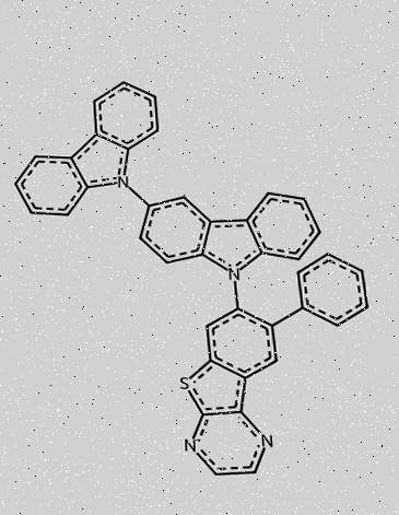 c1ccc(-c2cc3c(cc2-n2c4ccccc4c4cc(-n5c6ccccc6c6ccccc65)ccc42)sc2nccnc23)cc1